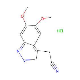 COc1cc2nncc(CC#N)c2cc1OC.Cl